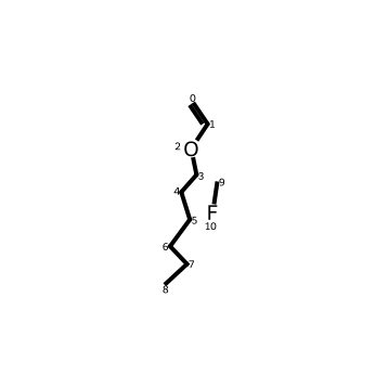 C=COCCCCCC.CF